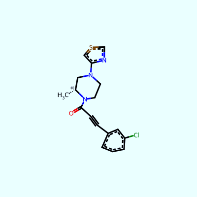 C[C@@H]1CN(c2cscn2)CCN1C(=O)C#Cc1cccc(Cl)c1